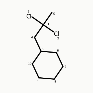 [CH2]C(Cl)(Cl)CC1CCCCC1